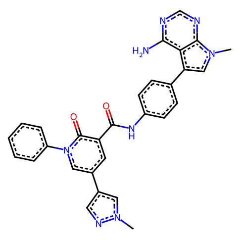 Cn1cc(-c2cc(C(=O)Nc3ccc(-c4cn(C)c5ncnc(N)c45)cc3)c(=O)n(-c3ccccc3)c2)cn1